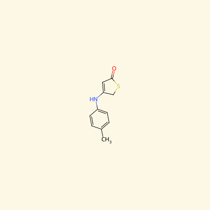 Cc1ccc(NC2=CC(=O)SC2)cc1